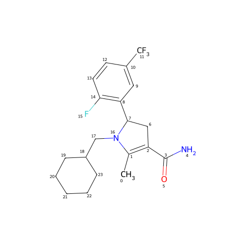 CC1=C(C(N)=O)CC(c2cc(C(F)(F)F)ccc2F)N1CC1CCCCC1